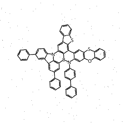 c1ccc(-c2ccc(N3B4c5c(cc6c(sc7ccccc76)c5-c5cc6c(cc53)Oc3ccccc3S6)-n3c5ccc(-c6ccccc6)cc5c5cc(-c6ccccc6)cc4c53)cc2)cc1